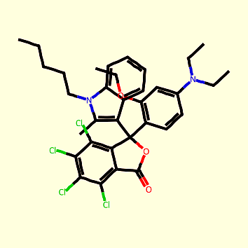 CCCCCn1c(C)c(C2(c3ccc(N(CC)CC)cc3OCC)OC(=O)c3c(Cl)c(Cl)c(Cl)c(Cl)c32)c2ccccc21